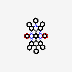 c1ccc(C2c3c4c(cc5ccccc35)N(c3ccccc3)c3c5c(c6c7c3N(c3ccccc3)c3cc8ccccc8c8c3B7c3c(cc7ccccc7c3N8c3ccccc3)N6c3ccccc3)N(c3ccccc3)c3cc6ccccc6c2c3B54)cc1